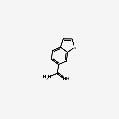 N=C(N)c1ccc2ccsc2c1